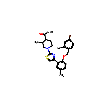 COC(=O)C1CCN(c2nc(-c3cc(C)ccc3OCc3ccc(Br)cc3C#N)cs2)CC1C